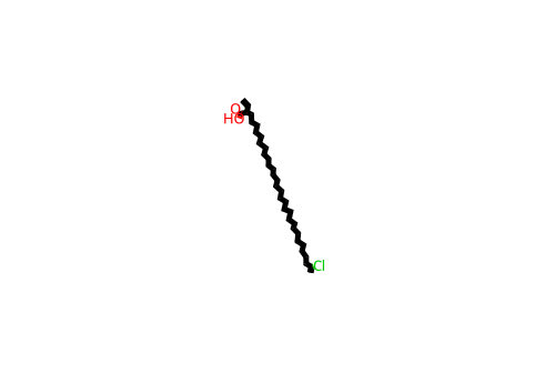 C=CC(CCCCCCCCCCCCCCCCCCCCCCCCCCCCC(=C)Cl)C(=O)O